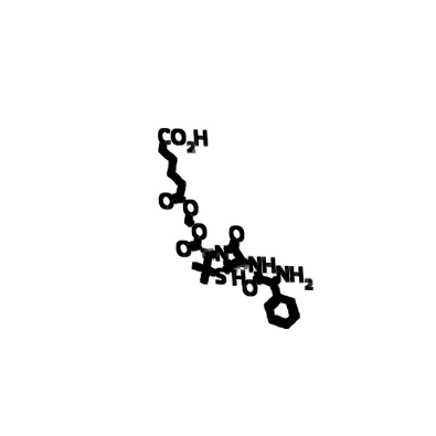 CC1(C)S[C@@H]2[C@H](NC(=O)C(N)c3ccccc3)C(=O)N2[C@H]1C(=O)OCOC(=O)CCCCC(=O)O